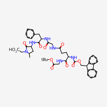 CC1CC(NC(=O)C(Cc2ccccc2)NC(=O)CNC(=O)CCC(NC(=O)OCC2c3ccccc3-c3ccccc32)C(=O)NCC(=O)OC(C)(C)C)C(=O)N1CC(=O)O